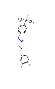 Cc1cc(SCCNCc2ccc(C(F)(C(F)(F)F)C(F)(F)F)cc2)ccc1F